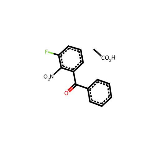 CC(=O)O.O=C(c1ccccc1)c1cccc(F)c1[N+](=O)[O-]